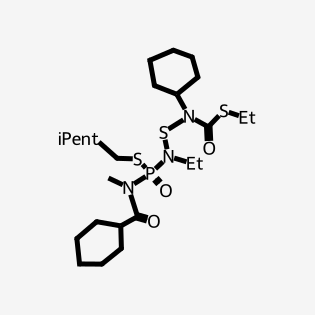 CCCC(C)CSP(=O)(N(CC)SN(C(=O)SCC)C1CCCCC1)N(C)C(=O)C1CCCCC1